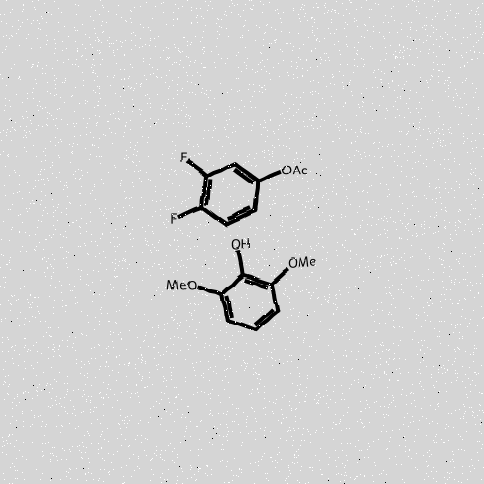 CC(=O)Oc1ccc(F)c(F)c1.COc1cccc(OC)c1O